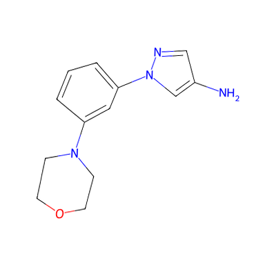 Nc1cnn(-c2cccc(N3CCOCC3)c2)c1